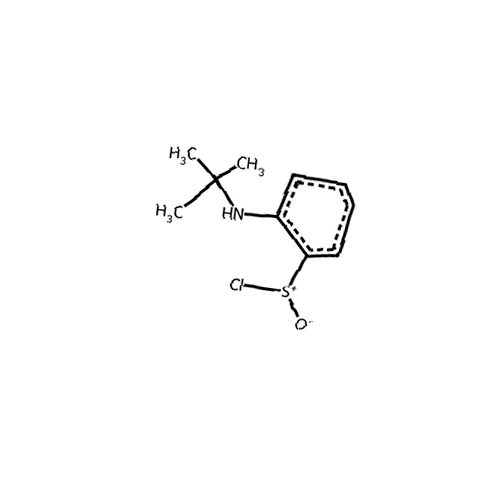 CC(C)(C)Nc1ccccc1[S+]([O-])Cl